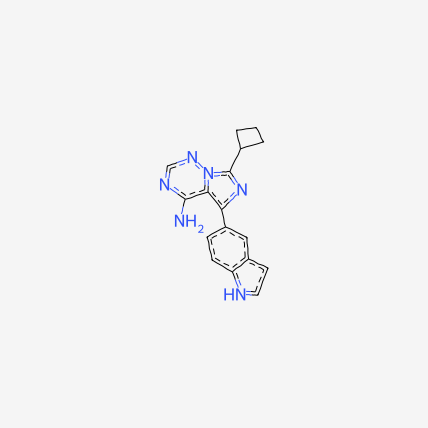 Nc1ncnn2c(C3CCC3)nc(-c3ccc4[nH]ccc4c3)c12